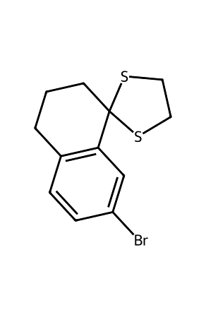 Brc1ccc2c(c1)C1(CCC2)SCCS1